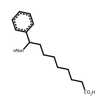 CCCCCCCCCC(CCCCCCCC(=O)O)c1ccccc1